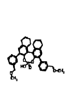 COCc1cccc(-c2cc3c(c4c2OP(=O)(O)OC2C4=C4CCCCC4=CC2c2cccc(COC)c2)CCCC3)c1